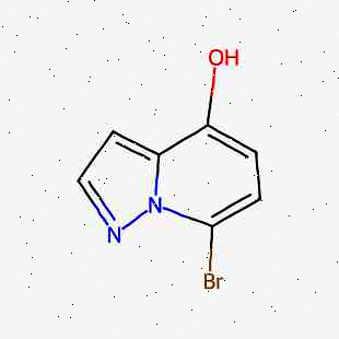 Oc1ccc(Br)n2nccc12